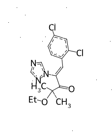 CCOC(C)(C)C(=O)C(=Cc1ccc(Cl)cc1Cl)n1cncn1